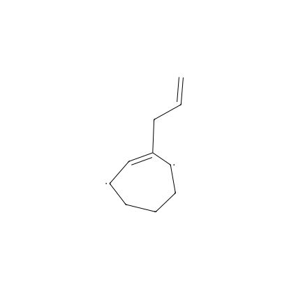 C=CCC1=C[CH]CCC[CH]1